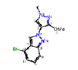 COc1nn(C)cc1-n1cc2c(Br)cccc2n1